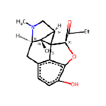 CCC(=O)[C@@H]1Oc2c(O)ccc3c2C12[C@@H]1CN(C)[C@H](C3)[C@]12C